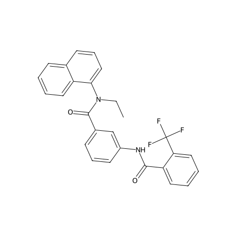 CCN(C(=O)c1cccc(NC(=O)c2ccccc2C(F)(F)F)c1)c1cccc2ccccc12